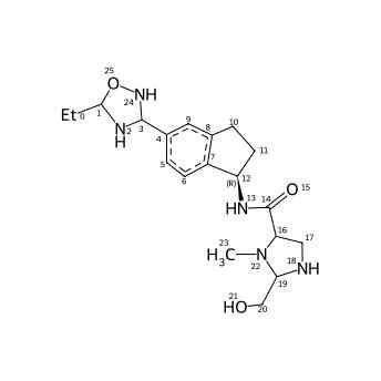 CCC1NC(c2ccc3c(c2)CC[C@H]3NC(=O)C2CNC(CO)N2C)NO1